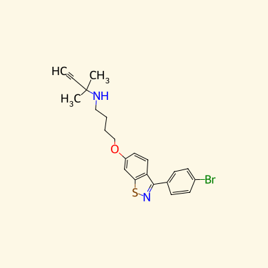 C#CC(C)(C)NCCCCOc1ccc2c(-c3ccc(Br)cc3)nsc2c1